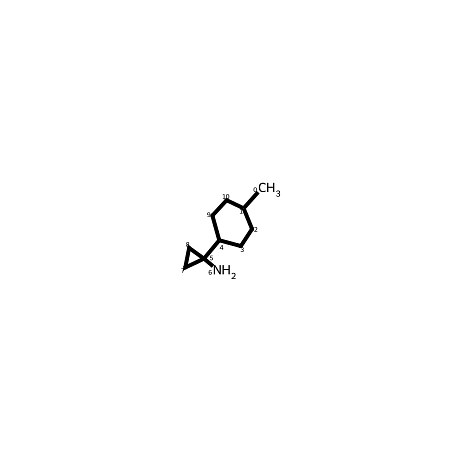 CC1CCC(C2(N)CC2)CC1